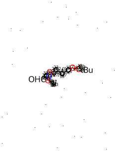 Cc1c(-c2ccc(OCCO[Si](C)(C)C(C)(C)C)cc2)cccc1-c1cccc2c1CCC2Oc1ccc(C=O)c(OCC[Si](C)(C)C)n1